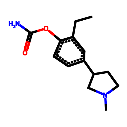 CCc1cc(C2CCN(C)C2)ccc1OC(N)=O